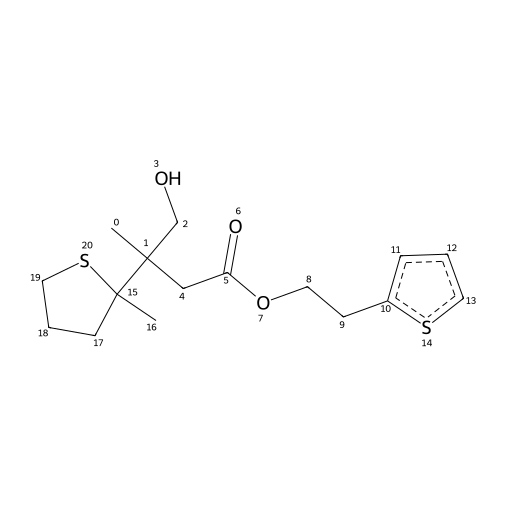 CC(CO)(CC(=O)OCCc1cccs1)C1(C)CCCS1